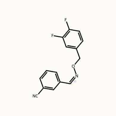 N#Cc1cccc(/[C]=N\OCc2ccc(F)c(F)c2)c1